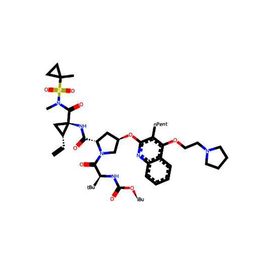 C=C[C@@H]1C[C@]1(NC(=O)[C@@H]1C[C@@H](Oc2nc3ccccc3c(OCCN3CCCC3)c2CCCCC)CN1C(=O)[C@@H](NC(=O)O[C@H](C)CC)C(C)(C)C)C(=O)N(C)S(=O)(=O)C1(C)CC1